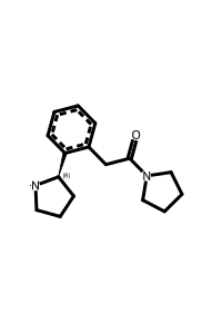 O=C(Cc1ccccc1[C@H]1CCC[N]1)N1CCCC1